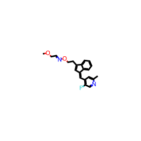 COCC=NOCCC1=C/C(=C/c2cc(C)ncc2F)c2ccccc21